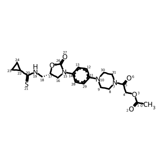 CC(=O)OCC(=O)N1CCN(c2ccc(N3C[C@H](CNC(=S)C4CC4)OC3=O)cc2)CC1